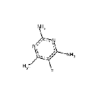 Cc1nc(N)nc(N)c1F